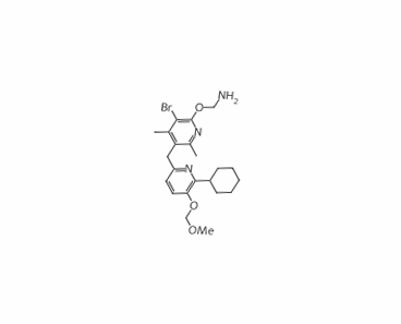 COCOc1ccc(Cc2c(C)nc(OCN)c(Br)c2C)nc1C1CCCCC1